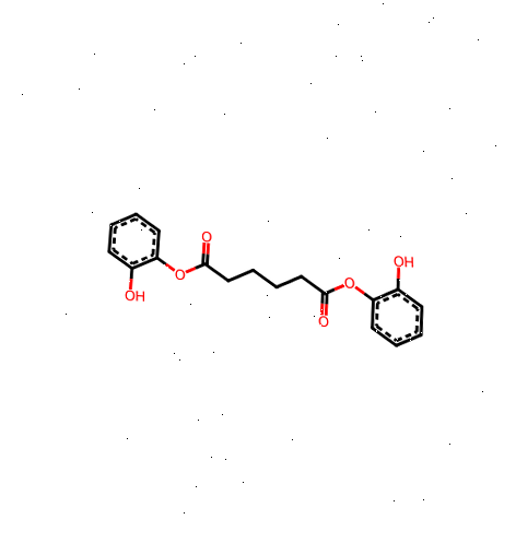 O=C(CCCCC(=O)Oc1ccccc1O)Oc1ccccc1O